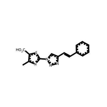 Cc1nc(-n2cc(C=Cc3ccccc3)nn2)sc1C(=O)O